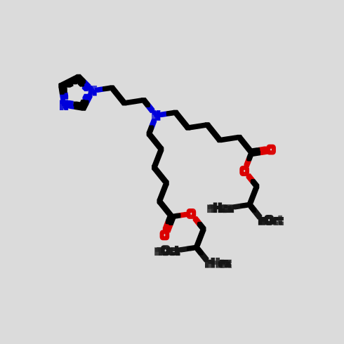 CCCCCCCCC(CCCCCC)COC(=O)CCCCCN(CCCCCC(=O)OCC(CCCCCC)CCCCCCCC)CCCn1ccnc1